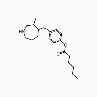 CCCCCC(=O)Oc1ccc(OC2CCCNCC2C)cc1